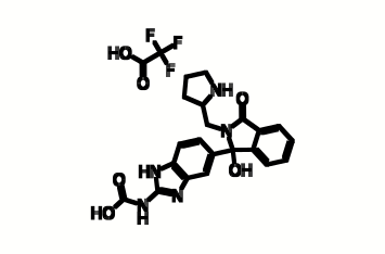 O=C(O)C(F)(F)F.O=C(O)Nc1nc2cc(C3(O)c4ccccc4C(=O)N3CC3CCCN3)ccc2[nH]1